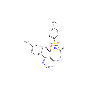 COc1ccc(-c2ncnc3c2[C@@H]2OC[C@H](CN3)N2S(=O)(=O)c2ccc([N+](=O)[O-])cc2)cc1